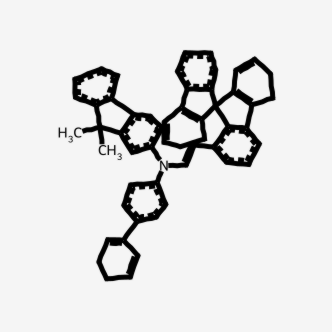 CC1(C)c2ccccc2-c2ccc(N(C=Cc3cccc4c3C3(C5=C4CCC=C5)C4=C(C=CCC4)c4ccccc43)c3ccc(C4=CCCC=C4)cc3)cc21